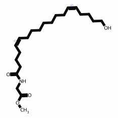 COC(=O)CNC(=O)CCC/C=C\CCCCCCC/C=C\CCCCO